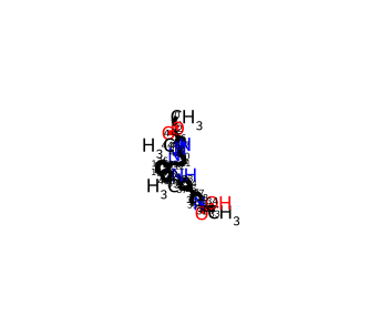 CCOC(=O)c1cnn(-c2cccc(-c3cccc4c3C(Nc3ccc(C5CCN(C(=O)C(C)O)CC5)cc3C)CC4)n2)c1C